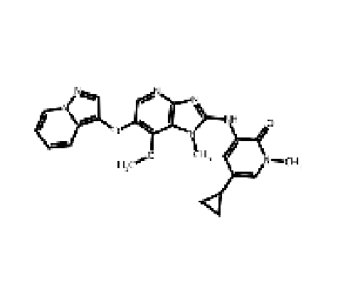 COc1c(Oc2cnn3ccccc23)cnc2nc(Nc3cc(C4CC4)cn(C)c3=O)n(C)c12